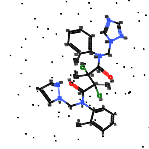 CCc1ccccc1N(Cn1cccn1)C(=O)C(Cl)(CC)C(Cl)(CC)C(=O)N(Cn1cncn1)c1ccccc1CC